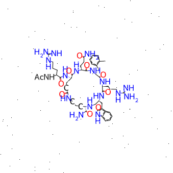 CC(=O)N[C@@H](CCCNC(=N)N)C(=O)N[C@H]1CCC(=O)NCCC[C@@H](C(N)=O)NC(=O)[C@H](Cc2c[nH]c3ccccc23)NC(=O)[C@H](CCCNC(=N)N)NC(=O)[C@@H](Cc2ccccc2C)NC(=O)[C@H](CCC(N)=O)NC1=O